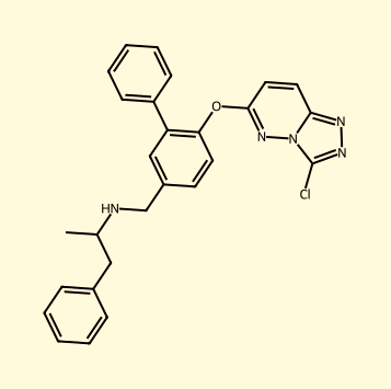 CC(Cc1ccccc1)NCc1ccc(Oc2ccc3nnc(Cl)n3n2)c(-c2ccccc2)c1